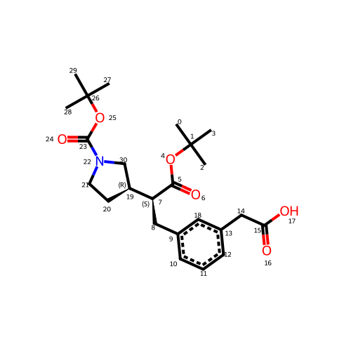 CC(C)(C)OC(=O)[C@@H](Cc1cccc(CC(=O)O)c1)[C@H]1CCN(C(=O)OC(C)(C)C)C1